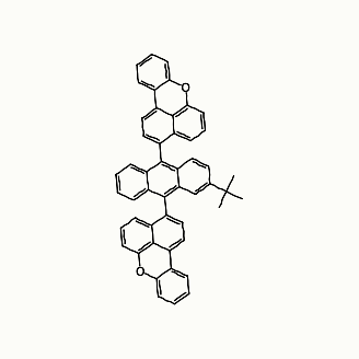 CC(C)(C)c1ccc2c(-c3ccc4c5c(cccc35)Oc3ccccc3-4)c3ccccc3c(-c3ccc4c5c(cccc35)Oc3ccccc3-4)c2c1